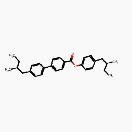 CC[C@H](C)Cc1ccc(OC(=O)c2ccc(-c3ccc(C[C@@H](C)CC)cc3)cc2)cc1